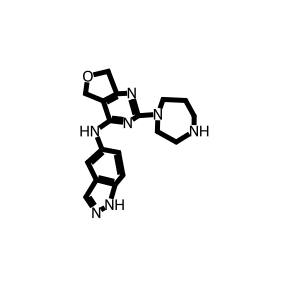 c1cc2[nH]ncc2cc1Nc1nc(N2CCCNCC2)nc2c1COC2